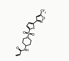 C=CC(=O)NC1CCN(S(=O)(=O)c2ccc(-c3cc(C(F)(F)F)on3)s2)CC1